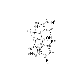 [2H]C([2H])([2H])[C@@H](c1ncncc1F)[C@](O)(Cn1cncn1)c1ccc(F)cc1F